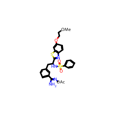 COCCOc1ccc2nc(C(Cc3cccc(C(N)=NOC(C)=O)c3)NS(=O)(=O)c3ccccc3)sc2c1